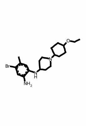 CCOC1CCC(N2CCC(Nc3cc(C)c(Br)cc3N)CC2)CC1